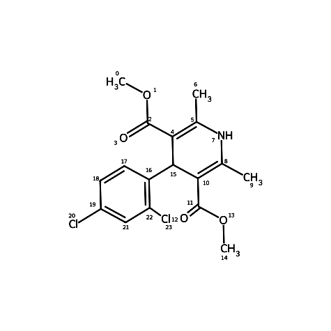 COC(=O)C1=C(C)NC(C)=C(C(=O)OC)C1c1ccc(Cl)cc1Cl